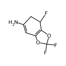 NC1=CC2=C(OC(F)(F)O2)C(F)C1